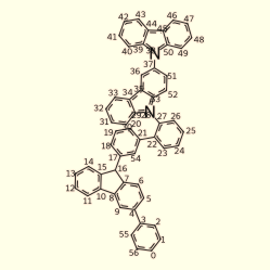 c1ccc(-c2ccc3c(c2)-c2ccccc2C3c2cccc(-c3ccccc3-n3c4ccccc4c4cc(-n5c6ccccc6c6ccccc65)ccc43)c2)cc1